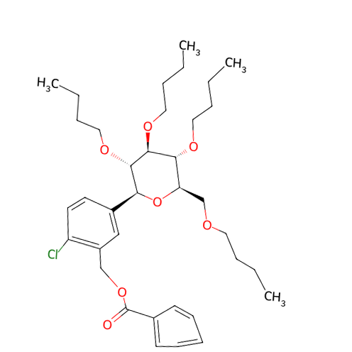 CCCCOC[C@H]1O[C@@H](c2ccc(Cl)c(COC(=O)c3ccccc3)c2)[C@H](OCCCC)[C@@H](OCCCC)[C@@H]1OCCCC